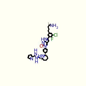 C[C@H](N)CCCc1cc(Cl)c(F)c(-c2cc3cn(-c4ccc([C@H]5CCCC[C@H](CCNC(=N)c6ccccn6)N5)cc4)c(=O)nc3[nH]2)c1